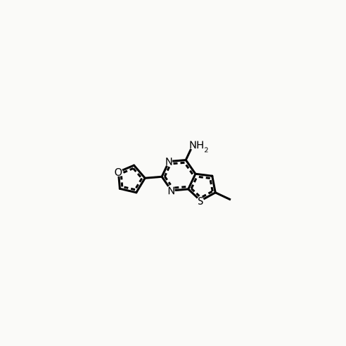 Cc1cc2c(N)nc(-c3ccoc3)nc2s1